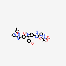 COC(=O)NC(C(=O)N1CCC[C@H]1c1cnc(-c2ccc3c(c2)c(-c2cccc(OC)c2)c2n3COc3cc(-c4cnc([C@@H]5CCCN5C(=O)CC(C)C)[nH]4)ccc3-2)[nH]1)C(C)C